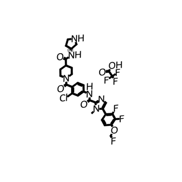 Cn1c(-c2ccc(OCF)c(F)c2F)cnc1C(=O)Nc1ccc(C(=O)N2CCC(C(=O)N[C@@H]3CCNC3)CC2)c(Cl)c1.O=C(O)C(F)(F)F